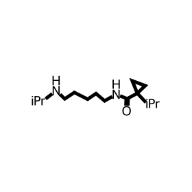 CC(C)NCCCCCNC(=O)C1(C(C)C)CC1